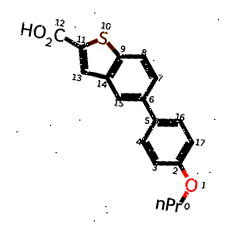 CCCOc1ccc(-c2ccc3sc(C(=O)O)cc3c2)cc1